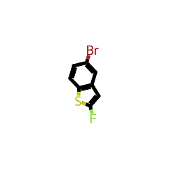 Fc1cc2cc(Br)ccc2s1